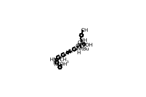 C#Cc1ccc(CNC(=O)[C@@H]2C[C@@H](O)CN2C(=O)[C@@H](NC(=O)N2CCC(N3CC4(CC(N5CCC(N6CCc7[nH]c8nnc(-c9ccccc9O)cc8c7[C@H]6C)CC5)C4)C3)CC2)C(C)(C)C)cc1